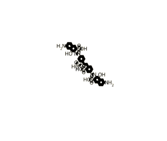 Nc1ccc2cc(S(=O)(=O)O)c(/N=N/c3ccc(/C=C/c4ccc(/N=N/c5c(S(=O)(=O)O)cc6ccc(N)cc6c5O)cc4S(=O)(=O)O)c(S(=O)(=O)O)c3)c(O)c2c1